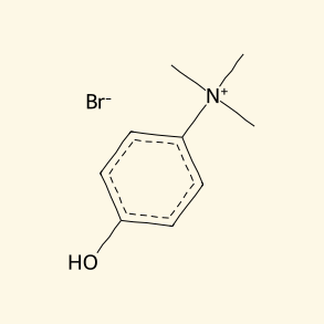 C[N+](C)(C)c1ccc(O)cc1.[Br-]